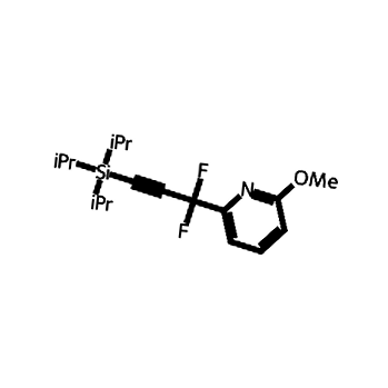 COc1cccc(C(F)(F)C#C[Si](C(C)C)(C(C)C)C(C)C)n1